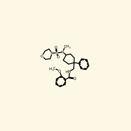 COc1ccccc1C(=O)NCC1(c2ccccc2)CCC(N(C)S(=O)(=O)N2CCOCC2)CC1